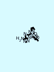 Cc1cc(Cn2c(C(C)Nc3ncnc(N)c3C#N)nc3cccn3c2=O)no1